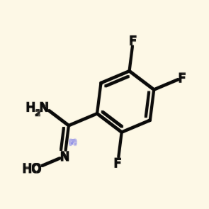 N/C(=N\O)c1cc(F)c(F)cc1F